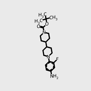 CC(C)(C)OC(=O)N1CCC(C2CCN(c3ccc(N)cc3F)CC2)CC1